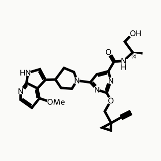 C#CC1(COc2nc(C(=O)N[C@H](C)CO)cc(N3CCC(c4c[nH]c5nccc(OC)c45)CC3)n2)CC1